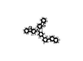 c1cc(-c2ccc(N(c3ccc4c(c3)oc3ccccc34)c3ccc4c(c3)sc3ccccc34)cc2)cc(-c2ccc3ccccc3c2)c1